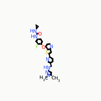 Cc1cc(NCc2ccc(-c3cc4nccc(Oc5ccc(NC(=O)NC6CC6)cc5F)c4s3)nc2)nn1C